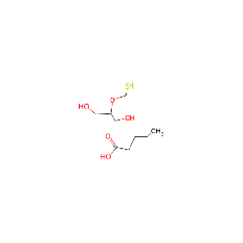 CCCCC(=O)O.OCC(CO)OCS